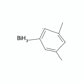 Cc1[c]c(C)cc(C)c1.[BiH3]